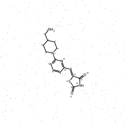 NCC1CCN(c2nccc(/C=C3\SC(=O)NC3=O)n2)CC1